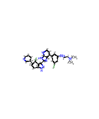 CN(C)CCNc1cc(F)cc(-c2ccnc3[nH]c(-c4n[nH]c5ccc(-c6cccnc6)c(F)c45)nc23)c1